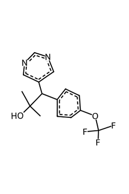 CC(C)(O)C(c1ccc(OC(F)(F)F)cc1)c1cncnc1